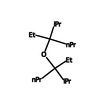 CCCC(CC)(OC(CC)(CCC)C(C)C)C(C)C